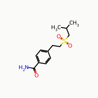 CC(C)CS(=O)(=O)CCc1ccc(C(N)=O)cc1